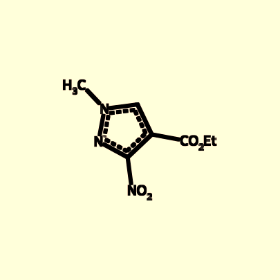 CCOC(=O)c1cn(C)nc1[N+](=O)[O-]